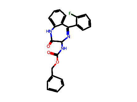 O=C(NC1N=C(c2ccccc2F)c2ccccc2NC1=O)OCc1ccccc1